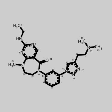 CCNc1ncc2c(n1)N(C)CCN(c1cccc(-n3cc(CCN(C)C)nn3)c1)C2=O